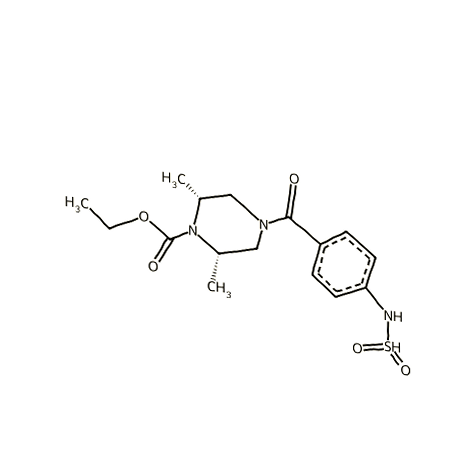 CCOC(=O)N1[C@H](C)CN(C(=O)c2ccc(N[SH](=O)=O)cc2)C[C@@H]1C